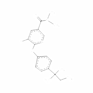 CCC(C)(C)c1ccc(Oc2ncc(C(=O)N(C)C)cc2F)cc1